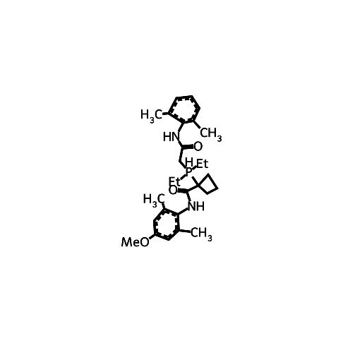 CC[PH](CC)(CC(=O)Nc1c(C)cccc1C)C1(C(=O)Nc2c(C)cc(OC)cc2C)CCC1